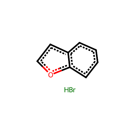 Br.c1ccc2occc2c1